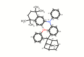 CC1(C)CCC(C)(C)c2cc(N(c3ccccc3)c3cccc4c3Oc3ccccc3C43C4CC5CC6CC3C64C5)ccc21